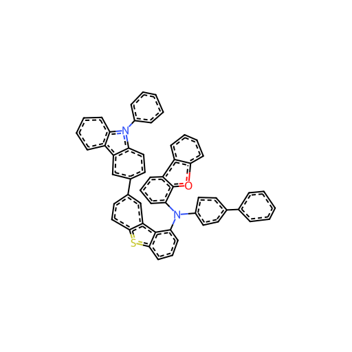 c1ccc(-c2ccc(N(c3cccc4c3oc3ccccc34)c3cccc4sc5ccc(-c6ccc7c(c6)c6ccccc6n7-c6ccccc6)cc5c34)cc2)cc1